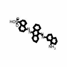 Nc1cccc2ccc(N=Nc3c4ccccc4c(N=Nc4cccc5c(S(=O)(=O)O)cccc45)c4ccccc34)cc12